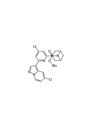 CC(C)(C)OC(=O)N1C2CC1CN(c1cc(Cl)cc(-c3cnn4ccc(Cl)cc34)n1)C2